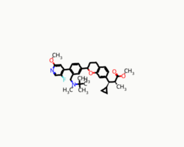 COC(=O)[C@@H](C)[C@H](c1ccc2c(c1)OC(c1ccc(-c3cc(OC)ncc3F)c(CN(C)C(C)(C)C)c1)CC2)C1CC1